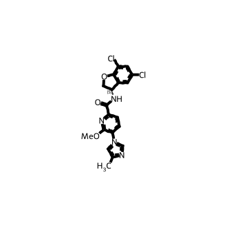 COc1nc(C(=O)N[C@@H]2COc3c(Cl)cc(Cl)cc32)ccc1-n1cnc(C)c1